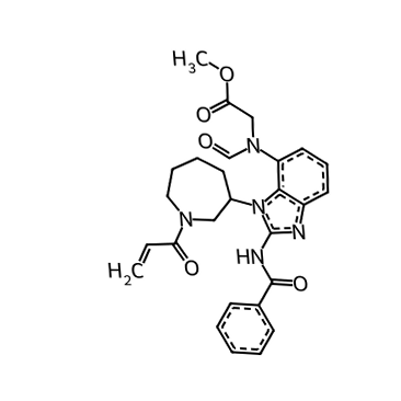 C=CC(=O)N1CCCCC(n2c(NC(=O)c3ccccc3)nc3cccc(N(C=O)CC(=O)OC)c32)C1